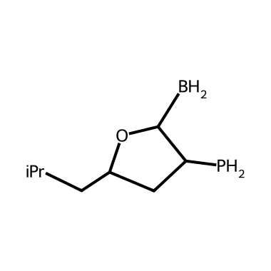 BC1OC(CC(C)C)CC1P